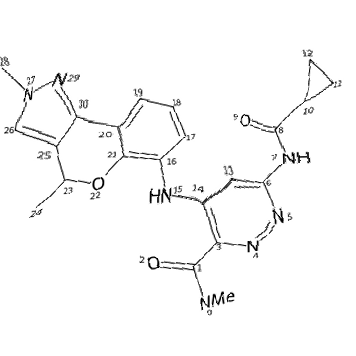 CNC(=O)c1nnc(NC(=O)C2CC2)cc1Nc1cccc2c1OC(C)c1cn(C)nc1-2